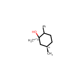 CC(C)C1CC[C@@H](C)C[C@@]1(C)O